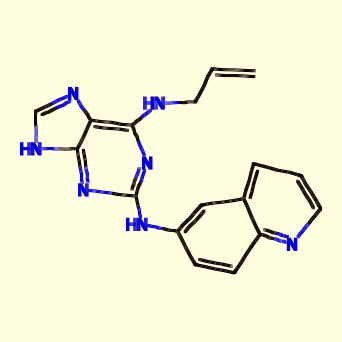 C=CCNc1nc(Nc2ccc3ncccc3c2)nc2[nH]cnc12